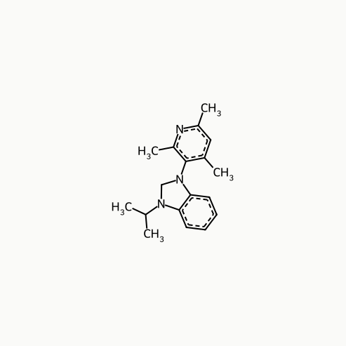 Cc1cc(C)c(N2CN(C(C)C)c3ccccc32)c(C)n1